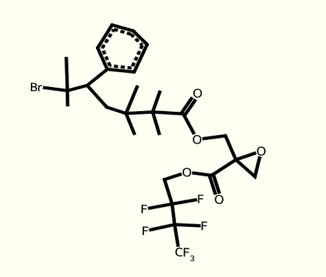 CC(C)(Br)C(CC(C)(C)C(C)(C)C(=O)OCC1(C(=O)OCC(F)(F)C(F)(F)C(F)(F)F)CO1)c1ccccc1